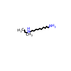 CCCC(C)NCCCCCCCCCCCN